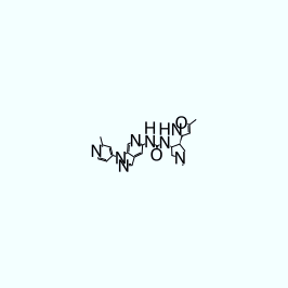 Cc1cc(-n2ncc3cc(NC(=O)N[C@H]4CN(C)C[C@@H]4c4cc(C)on4)ncc32)ccn1